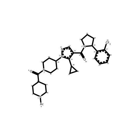 CC(=O)N1CCC(C(=O)N2CCC(n3ncc(C(=O)N4CCCC4c4ccccc4C(F)(F)F)c3C3CC3)CC2)CC1